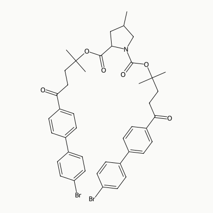 CC1CC(C(=O)OC(C)(C)CCC(=O)c2ccc(-c3ccc(Br)cc3)cc2)N(C(=O)OC(C)(C)CCC(=O)c2ccc(-c3ccc(Br)cc3)cc2)C1